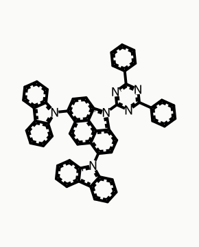 c1ccc(-c2nc(-c3ccccc3)nc(-n3c4ccc(-n5c6ccccc6c6ccccc65)c5ccc6c(-n7c8ccccc8c8ccccc87)ccc3c6c54)n2)cc1